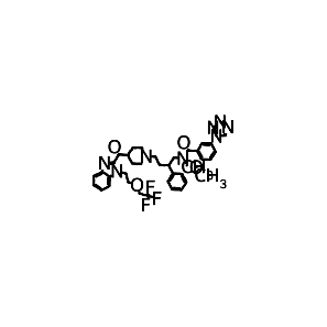 COc1ccc(-n2cnnn2)cc1C(=O)N(C)CC(CCN1CCC(C(=O)c2nc3ccccc3n2CCOCC(F)(F)F)CC1)c1ccccc1